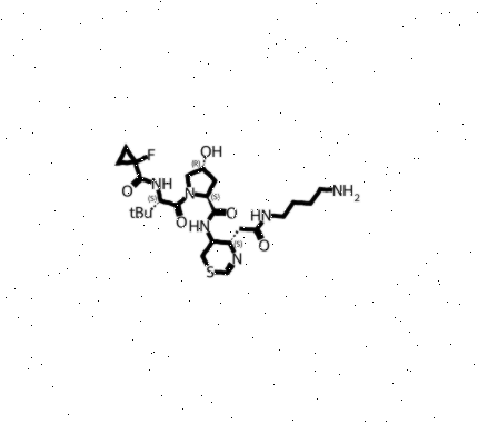 CC(C)(C)[C@H](NC(=O)C1(F)CC1)C(=O)N1C[C@H](O)C[C@H]1C(=O)NC1CSC=N[C@H]1CC(=O)NCCCCN